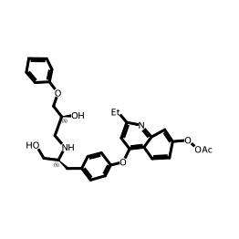 CCc1cc(Oc2ccc(C[C@@H](CO)NC[C@H](O)COc3ccccc3)cc2)c2ccc(OOC(C)=O)cc2n1